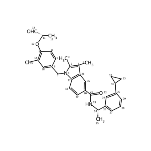 Cc1c(C)n(Cc2ccc(O[C@@H](C)C=O)c(Cl)c2)c2ccc(C(=O)N[C@@H](C)c3cccc(C4CC4)c3)cc12